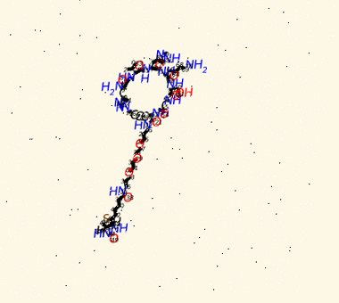 CC(C)[C@@H]1NC(=O)[C@@H](N)Cc2cn(nn2)CCCC[C@@H](C(=O)NCCCOCCOCCOCCCNC(=O)CCCCC2SC[C@H]3NC(=O)N[C@@H]23)NC(=O)CNC(=O)[C@H](CO)NC(=O)[C@H](CCCCN)NC(=O)[C@H](Cc2c[nH]cn2)NC1=O